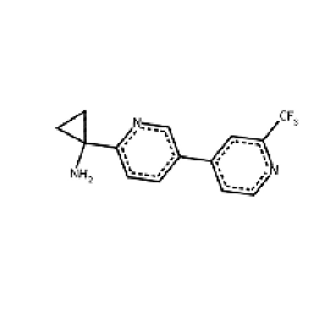 NC1(c2ccc(-c3ccnc(C(F)(F)F)c3)cn2)CC1